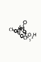 O=C(O)c1ccc(N(CCC2CCCCC2)c2nc(-c3cc(Cl)ccc3OCc3ccc(C(F)(F)F)cc3)cs2)cc1